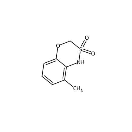 Cc1cccc2c1NS(=O)(=O)CO2